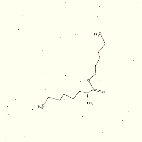 CCCCCCOC(=O)C(C)CCCCCC